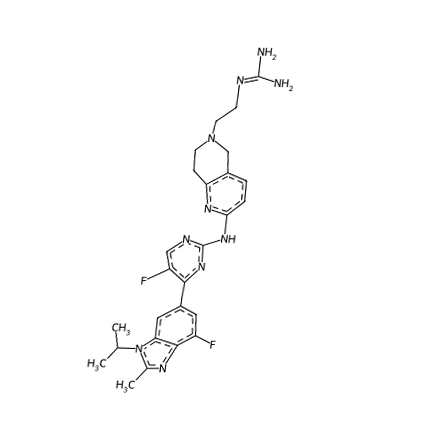 Cc1nc2c(F)cc(-c3nc(Nc4ccc5c(n4)CCN(CCN=C(N)N)C5)ncc3F)cc2n1C(C)C